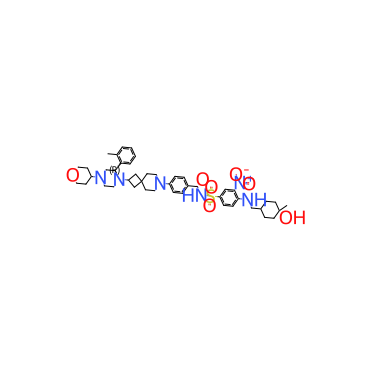 Cc1ccccc1[C@@H]1CN(C2CCOCC2)CCN1C1CC2(CCN(c3ccc(C(=O)NS(=O)(=O)c4ccc(NCC5CCC(C)(O)CC5)c([N+](=O)[O-])c4)cc3)CC2)C1